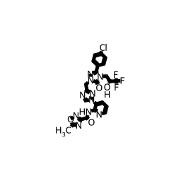 Cc1nc(C(=O)Nc2ncccc2-n2cnc(Cn3nc(-c4ccc(Cl)cc4)n(C[C@H](O)C(F)(F)F)c3=O)n2)no1